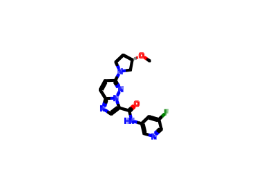 CO[C@H]1CCN(c2ccc3ncc(C(=O)Nc4cncc(F)c4)n3n2)C1